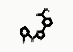 NC(=O)c1cccc(-c2csc(Nc3ccccc3F)n2)c1